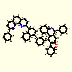 c1ccc(-c2ccc3ccc4ccc(-c5ccc(-c6cccc(-c7c8c(cc9c(-c%10ccccc%10)nc%10ccccc%10c79)oc7ccccc78)c6)c6ccccc56)nc4c3n2)cc1